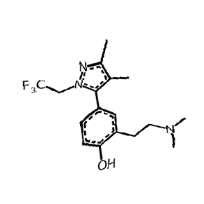 Cc1nn(CC(F)(F)F)c(-c2ccc(O)c(CCN(C)C)c2)c1C